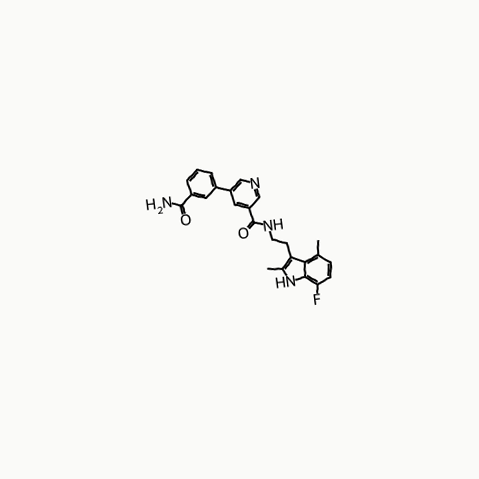 Cc1[nH]c2c(F)ccc(C)c2c1CCNC(=O)c1cncc(-c2cccc(C(N)=O)c2)c1